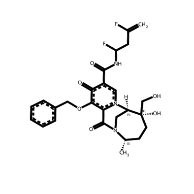 C=C(F)CC(F)NC(=O)c1cn2c(c(OCc3ccccc3)c1=O)C(=O)N1C[C@@H]2[C@@](O)(CO)CC[C@@H]1C